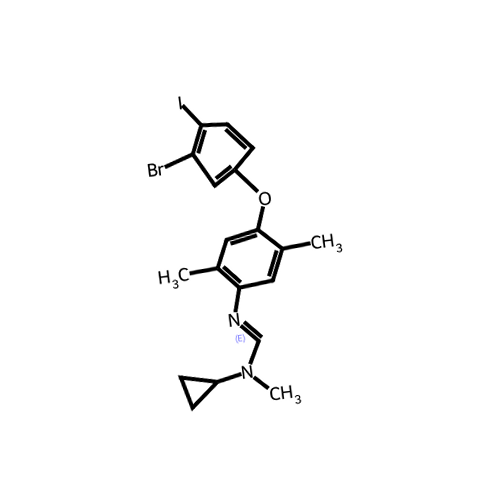 Cc1cc(Oc2ccc(I)c(Br)c2)c(C)cc1/N=C/N(C)C1CC1